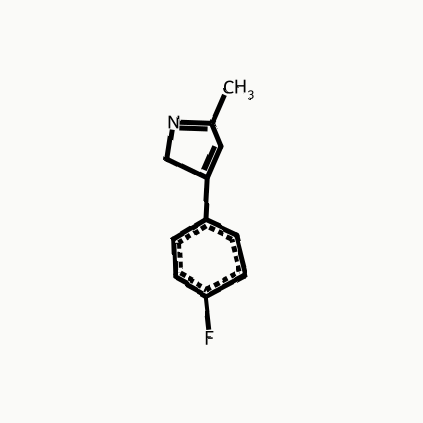 CC1=NCC(c2ccc(F)cc2)=C1